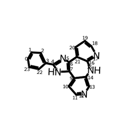 c1ccc(-c2nc3c([nH]2)-c2ccncc2Nc2ncccc2-3)cc1